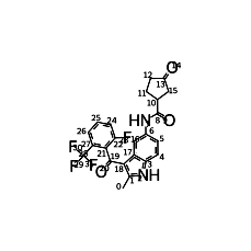 Cc1[nH]c2ccc(NC(=O)C3CCC(=O)C3)cc2c1C(=O)c1c(F)cccc1C(F)(F)F